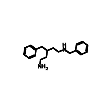 NCCC(CCNCc1ccccc1)Cc1ccccc1